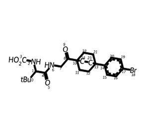 CC(C)(C)C(NC(=O)O)C(=O)NCC(=O)C12CCC(c3ccc(Br)cc3)(CC1)CC2